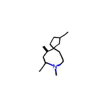 C=C1CC(C)N(C)CCC12CCC(C)C2